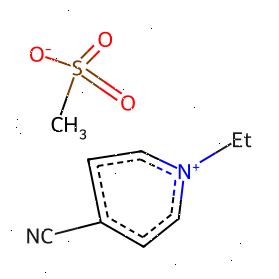 CC[n+]1ccc(C#N)cc1.CS(=O)(=O)[O-]